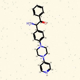 NC(C(=O)c1ccccc1)c1ccc(N2CCN(c3ccncc3)CC2)cc1